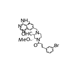 COC[C@@H]1C(C=O)N(Cc2ccc3c(N)ncnc3c2)CCN1C(=O)C=Cc1cccc(Br)c1